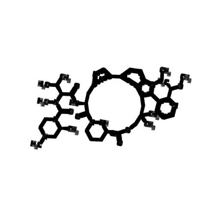 CCn1c(-c2cccnc2[C@H](C)OC)c2c3cc(ccc31)-c1csc(n1)C[C@H](NC(=O)[C@H](C(C)C)N(C)C(=O)N1CCN(C)C[C@@H]1C)C(=O)N1CCC[C@@](O)(N1)C(=O)OCC(C)(C)C2